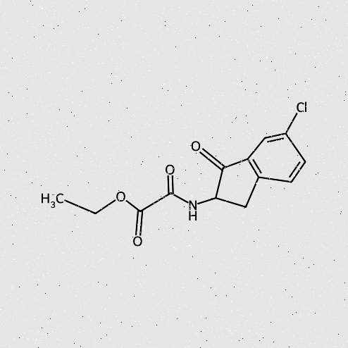 CCOC(=O)C(=O)NC1Cc2ccc(Cl)cc2C1=O